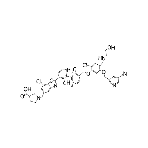 Cc1c(COc2cc(OCc3cncc(C#N)c3)c(CNCCO)cc2Cl)cccc1-c1cccc(-c2nc3cc(CN4CCC(C(=O)O)C4)cc(Cl)c3o2)c1C